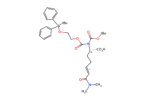 CN(C)C(=O)/C=C/CC[C@@H](C(=O)O)N(C(=O)OCCO[Si](c1ccccc1)(c1ccccc1)C(C)(C)C)C(=O)OC(C)(C)C